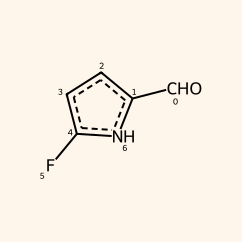 O=Cc1ccc(F)[nH]1